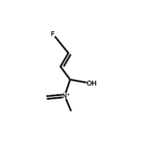 C=[N+](C)C(O)/C=C/F